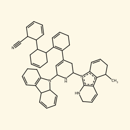 CC1CC=Cc2c1c1c(n2C2CC(C3=C(C4CC=CCC4C4C=CC=CC4C#N)C=CCC3)=CC(N3C4=C(C=CCC4)C4C=CC=CC43)N2)NCC=C1